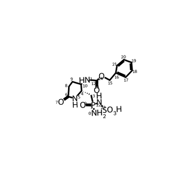 NP(=O)(C[C@@H]1NC(=O)CC[C@@H]1NC(=O)OCc1ccccc1)NS(=O)(=O)O